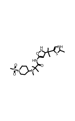 CC1NC=C(C(C)(C)C2C=C(NC(=O)C(C)(C)N(C)C3CCN(S(C)(=O)=O)CC3)ON2)S1